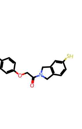 Cc1ccc(OCC(=O)N2Cc3ccc(S)cc3C2)cc1C